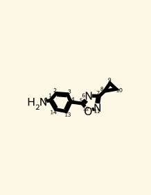 Nc1ccc(-c2nc(C3CC3)no2)cc1